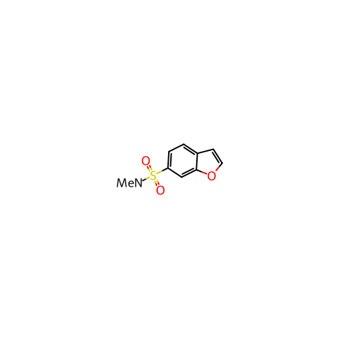 CNS(=O)(=O)c1ccc2ccoc2c1